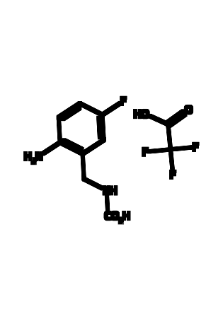 Nc1ccc(F)cc1CNC(=O)O.O=C(O)C(F)(F)F